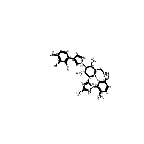 Cc1nc([C@@H]2O[C@H](CO)[C@H](O)[C@H](n3cc(-c4ccc(Cl)c(F)c4F)cn3)[C@H]2O)n(-c2cc(Cl)ccc2C)n1